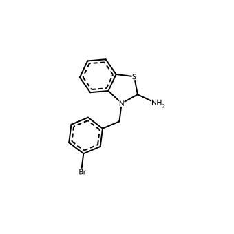 NC1Sc2ccccc2N1Cc1cccc(Br)c1